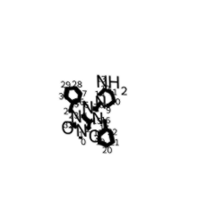 Cn1c(=O)c2c(nc(N3CCCC(N)C3)n2Cc2ccccc2)n(Cc2ccccc2)c1=O